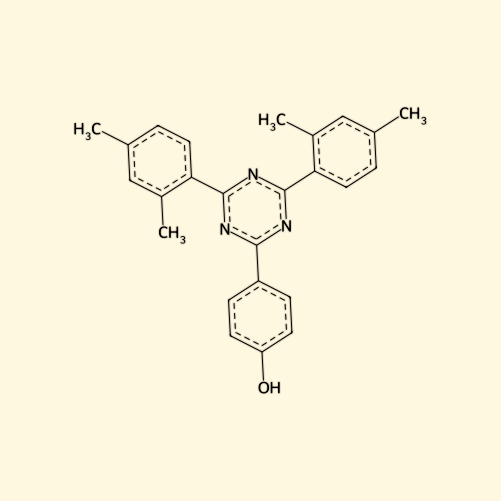 Cc1ccc(-c2nc(-c3ccc(O)cc3)nc(-c3ccc(C)cc3C)n2)c(C)c1